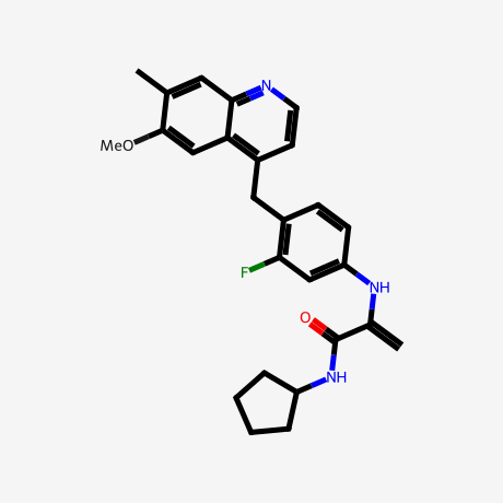 C=C(Nc1ccc(Cc2ccnc3cc(C)c(OC)cc23)c(F)c1)C(=O)NC1CCCC1